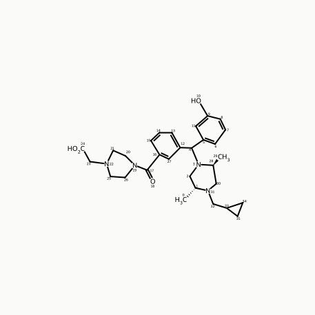 C[C@@H]1CN(C(c2cccc(O)c2)c2cccc(C(=O)N3CCN(CC(=O)O)CC3)c2)[C@@H](C)CN1CC1CC1